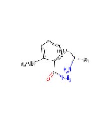 CC(=O)Nc1ccccc1C(N)=O.CC(C)[C@H](N)C(=O)O